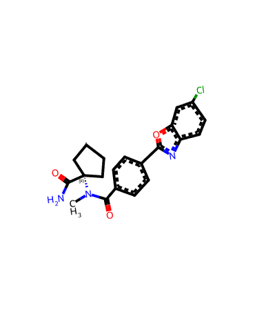 CN(C(=O)c1ccc(-c2nc3ccc(Cl)cc3o2)cc1)[C@]1(C(N)=O)C[CH]CC1